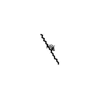 Br.CCCCCCCCCCCC(CCCCCCCCC)N(C)C